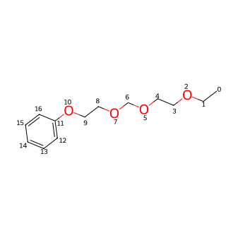 CCOCCOCOCCOc1ccccc1